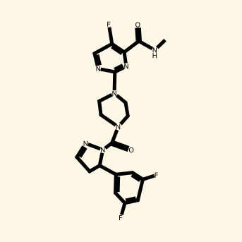 CNC(=O)c1nc(N2CCN(C(=O)N3N=CCC3c3cc(F)cc(F)c3)CC2)ncc1F